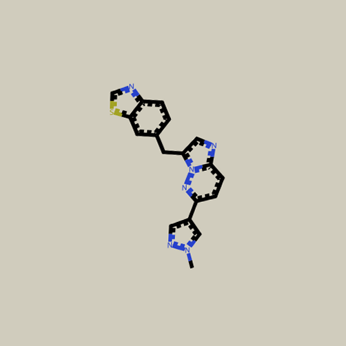 Cn1cc(-c2ccc3ncc(Cc4ccc5ncsc5c4)n3n2)cn1